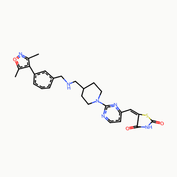 Cc1noc(C)c1-c1cccc(CNCC2CCN(c3nccc(C=C4SC(=O)NC4=O)n3)CC2)c1